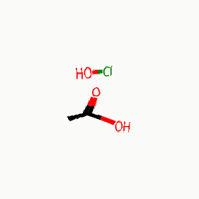 CC(=O)O.OCl